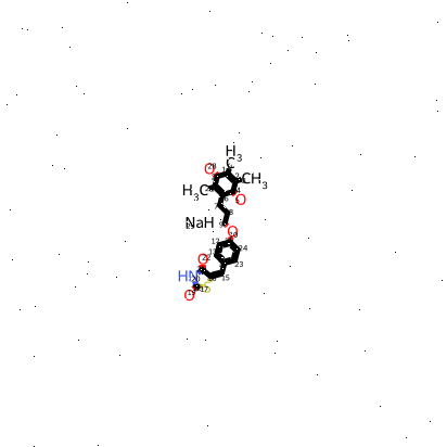 CC1=C(C)C(=O)C(CCCOc2ccc(C=C3SC(=O)NC3=O)cc2)=C(C)C1=O.[NaH]